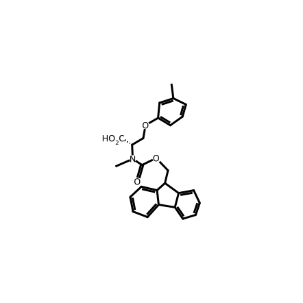 Cc1cccc(OC[C@@H](C(=O)O)N(C)C(=O)OCC2c3ccccc3-c3ccccc32)c1